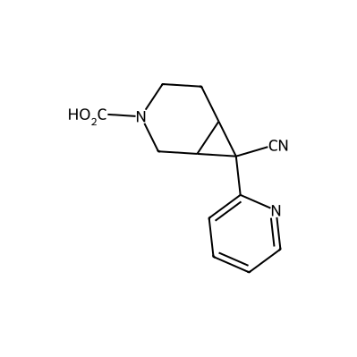 N#CC1(c2ccccn2)C2CCN(C(=O)O)CC21